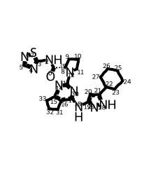 O=C(Nc1ncns1)[C@@H]1CCCN1c1nc2c(c(Nc3cc(C4CCCCC4)[nH]n3)n1)CCC2